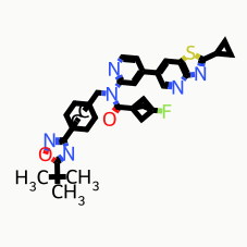 CC(C)(C)c1nc(C23CCC(CN(C(=O)C45CC(F)(C4)C5)c4cc(-c5cnc6nc(C7CC7)sc6c5)ccn4)(CC2)CC3)no1